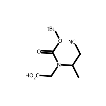 CC(CC#N)N(CC(=O)O)C(=O)OC(C)(C)C